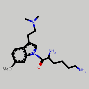 COc1ccc2c(CCN(C)C)cn(C(=O)C(N)CCCCN)c2c1